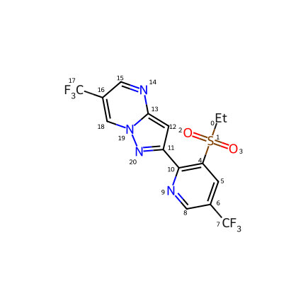 CCS(=O)(=O)c1cc(C(F)(F)F)cnc1-c1cc2ncc(C(F)(F)F)cn2n1